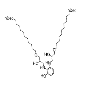 CCCCCCCCCCCCCCCCCCCCCOCC(O)CNc1cccc(O)c1NCC(O)COCCCCCCCCCCCCCCCCCCCCC